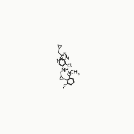 COc1cccc(F)c1C1CC1CNc1cnn2c(CC3CC3)nnc2c1Cl